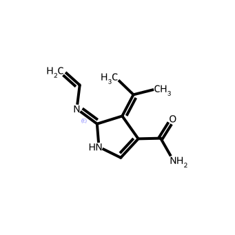 C=C/N=C1/NC=C(C(N)=O)C1=C(C)C